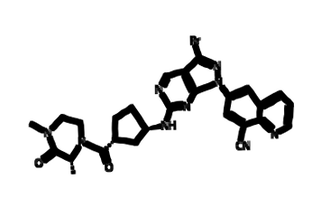 C[C@@H]1C(=O)N(C)CCN1C(=O)[C@@H]1CC[C@@H](Nc2ncc3c(Br)nn(-c4cc(C#N)c5ncccc5c4)c3n2)C1